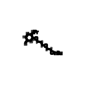 CCCCOCCOCCCOC1CC(C)CCC1C(C)C